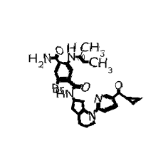 CC[C@@H](C)Nc1cc(C(=O)NC2CC3CCCN(c4ccc(C(=O)C5CC5)cn4)C3C2)c(Br)cc1C(N)=O